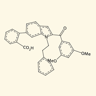 COc1cc(OC)cc(C(=O)c2cc3ccc(-c4ccccc4C(=O)O)cc3n2CCc2ccccc2)c1